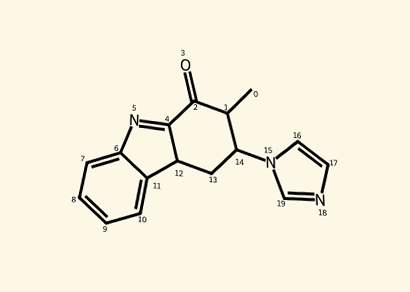 CC1C(=O)C2=Nc3ccccc3C2CC1n1ccnc1